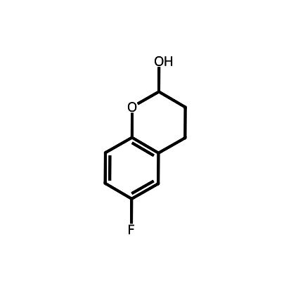 OC1CCc2cc(F)ccc2O1